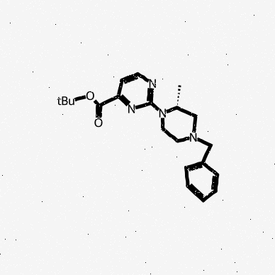 C[C@@H]1CN(Cc2ccccc2)CCN1c1nccc(C(=O)OC(C)(C)C)n1